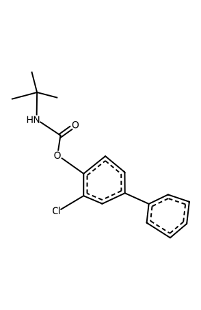 CC(C)(C)NC(=O)Oc1ccc(-c2ccccc2)cc1Cl